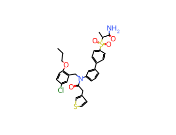 CCCOc1ccc(Cl)cc1CN(C(=O)Cc1ccsc1)c1cccc(-c2ccc(S(=O)(=O)C(C)C(N)=O)cc2)c1